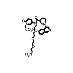 NCCOCCOCCOCCN(C(=O)C1CCCN(c2cncc3ccccc23)C1)c1ccc(=O)n(CC(=O)O)c1